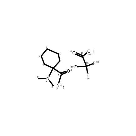 CN(C)C1(C(N)=O)CCCCC1.O=C(O)C(F)(F)F